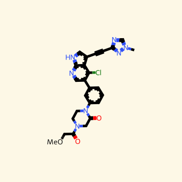 COCC(=O)N1CCN(c2cccc(-c3cnc4[nH]cc(C#Cc5ncn(C)n5)c4c3Cl)c2)C(=O)C1